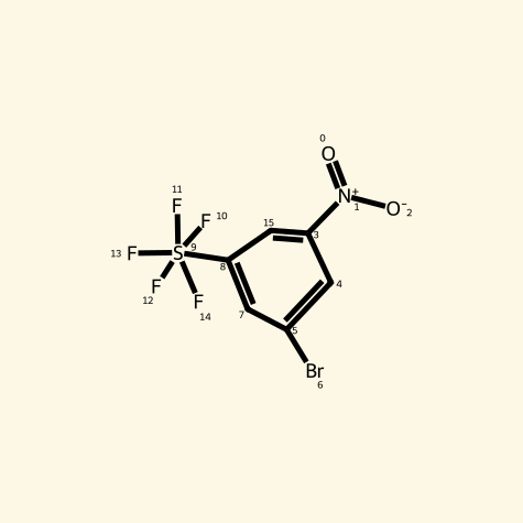 O=[N+]([O-])c1cc(Br)cc(S(F)(F)(F)(F)F)c1